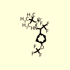 CC(C)(C)[S+]([O-])NC(c1ccc(OC(F)(F)F)cc1)C(F)(F)F